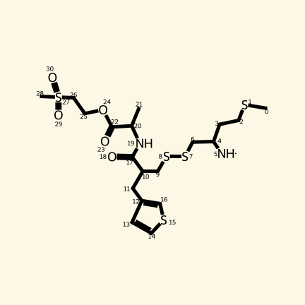 CSCCC([NH])CSSCC(Cc1ccsc1)C(=O)NC(C)C(=O)OCCS(C)(=O)=O